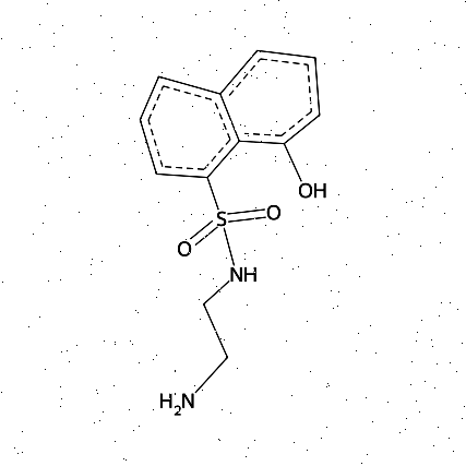 NCCNS(=O)(=O)c1cccc2cccc(O)c12